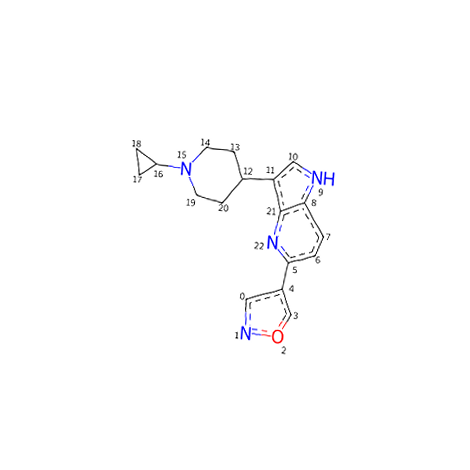 c1nocc1-c1ccc2[nH]cc(C3CCN(C4CC4)CC3)c2n1